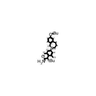 CCC(C)Oc1ccc2c(c1)CCCN(c1cc(C)c(C(C(N)=O)C(C)(C)C)c(C)c1)C2